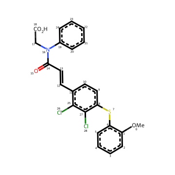 COc1ccccc1Sc1ccc(/C=C/C(=O)N(CC(=O)O)c2ccccc2)c(Cl)c1Cl